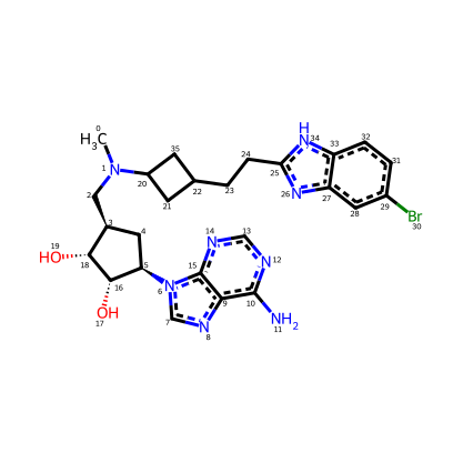 CN(C[C@H]1C[C@@H](n2cnc3c(N)ncnc32)[C@H](O)[C@@H]1O)C1CC(CCc2nc3cc(Br)ccc3[nH]2)C1